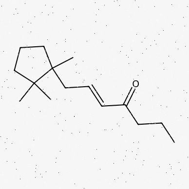 CCCC(=O)/C=C/CC1(C)CCCC1(C)C